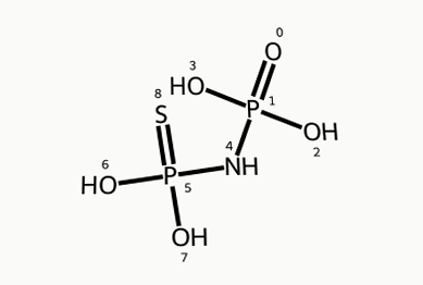 O=P(O)(O)NP(O)(O)=S